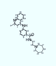 Cc1cc(Nc2cccc(C(=O)NCCN3CCCCCC3)c2)c2ccccc2n1